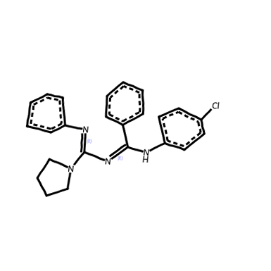 Clc1ccc(N/C(=N/C(=N/c2ccccc2)N2CCCC2)c2ccccc2)cc1